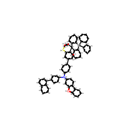 c1ccc([Si]2(c3ccccc3)c3ccccc3C3(c4ccccc4Sc4cc(-c5ccc(N(c6ccc(-c7cccc8ccccc78)cc6)c6ccc7c(c6)oc6ccccc67)cc5)ccc43)c3ccccc32)cc1